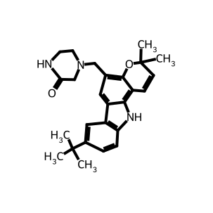 CC1(C)C=Cc2c(c(CN3CCNC(=O)C3)cc3c2[nH]c2ccc(C(C)(C)C)cc23)O1